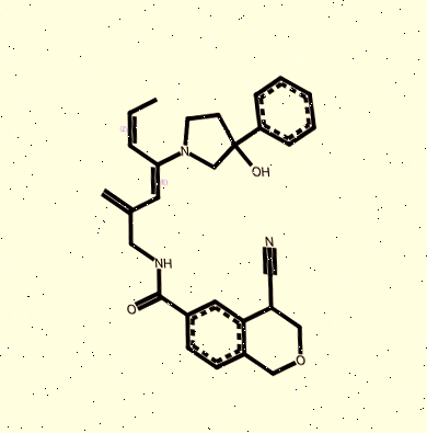 C=C(/C=C(\C=C/C)N1CCC(O)(c2ccccc2)C1)CNC(=O)c1ccc2c(c1)C(C#N)COC2